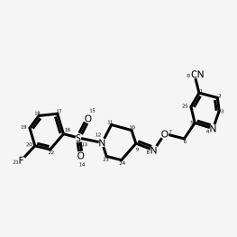 N#Cc1ccnc(CON=C2CCN(S(=O)(=O)c3cccc(F)c3)CC2)c1